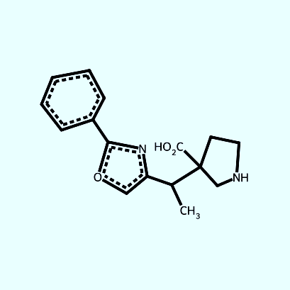 CC(c1coc(-c2ccccc2)n1)C1(C(=O)O)CCNC1